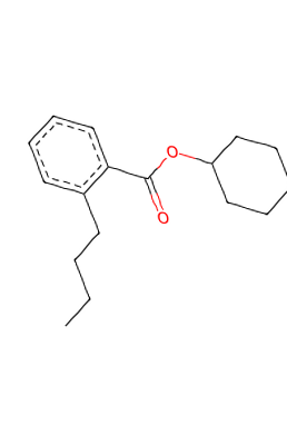 CCCCc1ccccc1C(=O)OC1CCCCC1